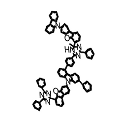 CC1(c2cccc3c2oc2cc(-n4c5ccccc5c5ccccc54)ccc23)N=C(c2ccccc2)N=C(c2ccc(-c3cccc4c3c3ccc(-c5ccccc5)cc3n4-c3ccc4c(c3)oc3c(-c5nc(-c6ccccc6)nc(-c6ccccc6)n5)cccc34)cc2)N1